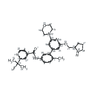 Cc1ccc(NC(=O)c2ccnc(C(C)(C)F)c2)cc1-c1cc(OC[C@H]2CCCN2)nc(N2CCOCC2)c1